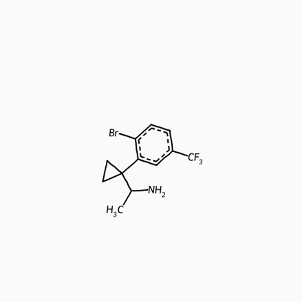 CC(N)C1(c2cc(C(F)(F)F)ccc2Br)CC1